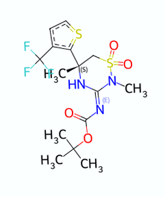 CN1/C(=N/C(=O)OC(C)(C)C)N[C@](C)(c2sccc2C(F)(F)F)CS1(=O)=O